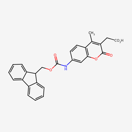 Cc1c(CC(=O)O)c(=O)oc2cc(NC(=O)OCC3c4ccccc4-c4ccccc43)ccc12